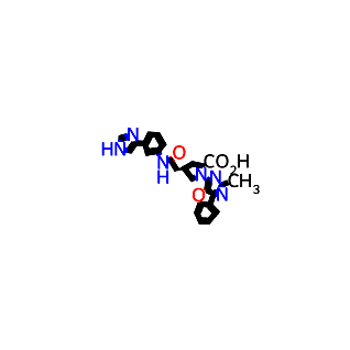 Cc1nc(N2C[C@@H](CC(=O)Nc3cccc(-c4c[nH]cn4)c3)C[C@H]2C(=O)O)c2oc3ccccc3c2n1